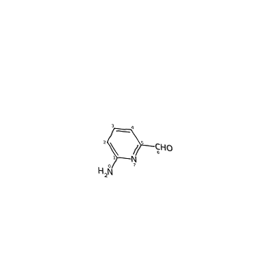 Nc1cccc(C=O)n1